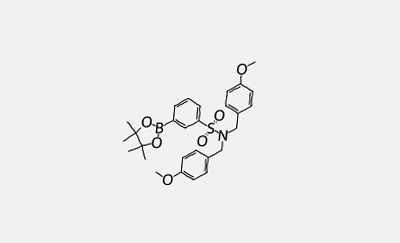 COc1ccc(CN(Cc2ccc(OC)cc2)S(=O)(=O)c2cccc(B3OC(C)(C)C(C)(C)O3)c2)cc1